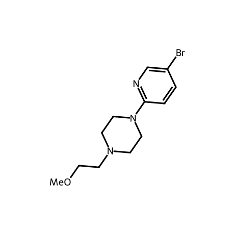 COCCN1CCN(c2ccc(Br)cn2)CC1